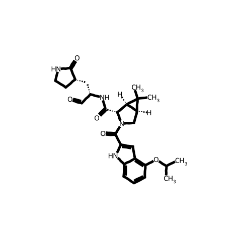 CC(C)Oc1cccc2[nH]c(C(=O)N3C[C@H]4[C@@H]([C@H]3C(=O)N[C@H](C=O)C[C@@H]3CCNC3=O)C4(C)C)cc12